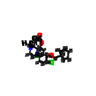 CC1(C)C(=O)O/C(=C/c2c(Cl)ccc(Cl)c2OCc2ccccc2)c2nccnc21